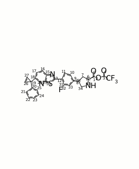 O=C(OC(=O)C(F)(F)F)[C@@H]1C[C@H](c2ccc(-c3nc4ccc(C5(c6ccccc6)C=C5)nc4s3)c(F)c2)CN1